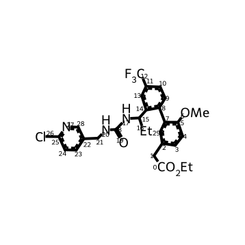 CCOC(=O)Cc1ccc(OC)c(-c2ccc(C(F)(F)F)cc2C(CC)NC(=O)NCc2ccc(Cl)nc2)c1